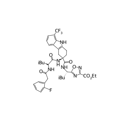 CCOC(=O)c1noc([C@@H](NC(=O)[C@@]2(NC(=O)C(NC(=O)Cc3ccccc3F)[C@H](C)CC)CCc3[nH]c4c(C(F)(F)F)cccc4c3C2)C(C)CC)n1